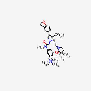 CCCCN(C(=O)CN1C[C@H](c2ccc3c(c2)CCO3)[C@@H](C(=O)O)[C@@H]1CCN1CCC(C)(C)C1=O)c1cccc(C[N+](C)(C)C)c1